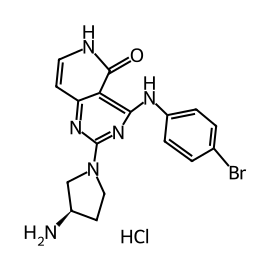 Cl.N[C@@H]1CCN(c2nc(Nc3ccc(Br)cc3)c3c(=O)[nH]ccc3n2)C1